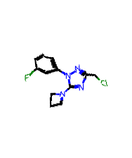 Fc1cccc(-n2nc(CCl)nc2N2CCC2)c1